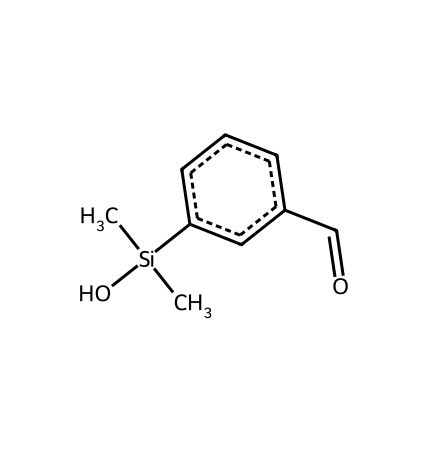 C[Si](C)(O)c1cccc(C=O)c1